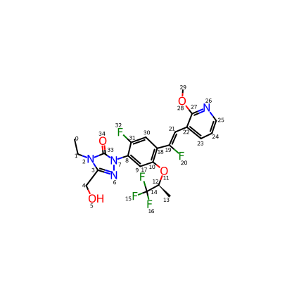 CCn1c(CO)nn(-c2cc(O[C@@H](C)C(F)(F)F)c(/C(F)=C/c3cccnc3OC)cc2F)c1=O